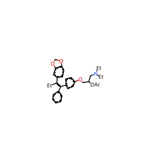 CC/C(=C(\c1ccccc1)c1ccc(OCC(CN(CC)CC)OC(C)=O)cc1)c1ccc2c(c1)OCO2